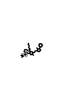 CCCCCOc1cc(/C=C/c2cccc(-c3ccccc3)c2C)c(C)cc1CN1CCCC[C@H]1C(=O)OC(C)(C)C